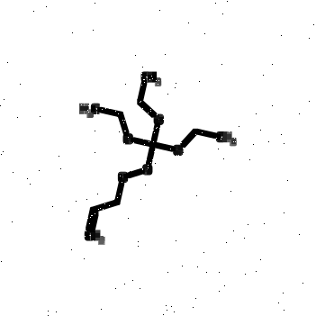 C=CCOOC(OCC)(OCC)OCC